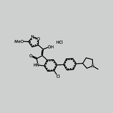 COc1cc(/C(O)=C2\C(=O)Nc3cc(Cl)c(-c4ccc(C5CCN(C)C5)cc4)cc32)on1.Cl